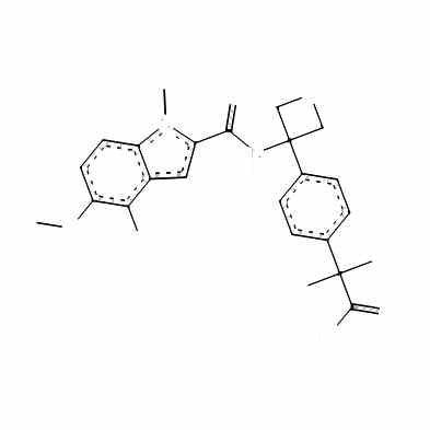 COc1ccc2c(cc(C(=O)NC3(c4ccc(C(C)(C)C(=O)O)cc4)COC3)n2C)c1Cl